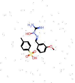 COc1cccc(C=NN(O)C(=N)N)c1.Cc1ccc(S(=O)(=O)O)cc1